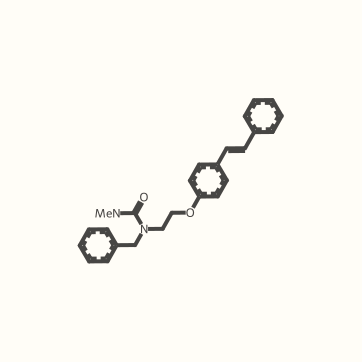 CNC(=O)N(CCOc1ccc(C=Cc2ccccc2)cc1)Cc1ccccc1